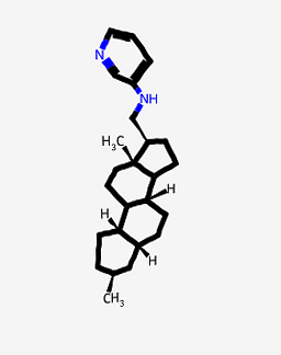 C[C@H]1CC[C@@H]2C3CC[C@@]4(C)C(CC[C@@H]4CNc4cccnc4)[C@@H]3CC[C@@H]2C1